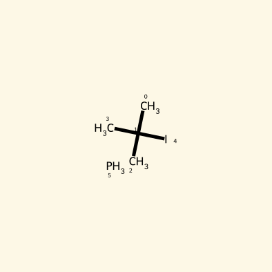 CC(C)(C)I.P